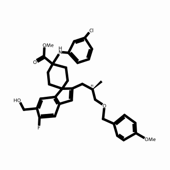 COC(=O)C1(Nc2cccc(Cl)c2)CCC2(CC1)C(C[C@@H](C)COCc1ccc(OC)cc1)=Cc1cc(F)c(CO)cc12